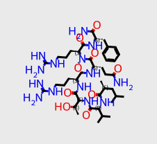 CC(C)C[C@H](C)C(=O)N[C@H](C(=O)N[C@H](C(=O)N[C@@H](CCCNC(=N)N)C(=O)N[C@@H](CCC(N)=O)C(=O)N(C)[C@@H](CCCNC(=N)N)C(=O)N[C@@H](Cc1ccccc1)C(N)=O)[C@@H](C)O)C(C)C